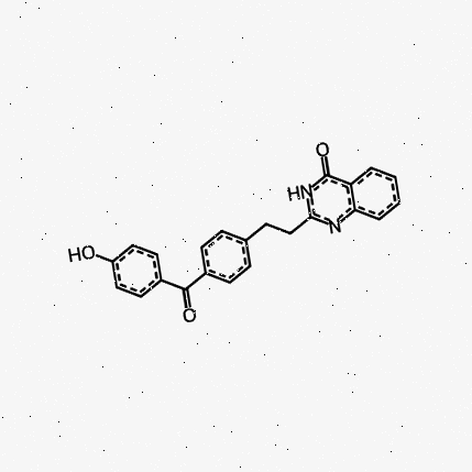 O=C(c1ccc(O)cc1)c1ccc(CCc2nc3ccccc3c(=O)[nH]2)cc1